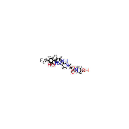 Cc1c(N[C@@H]2CCCN(CCOC(=O)N3CCC(O)CC3)C2)nnc(-c2ccc(C(F)(F)F)cc2O)c1C